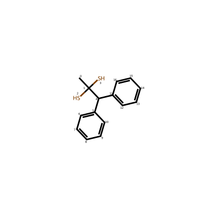 CC(S)(S)C(c1ccccc1)c1ccccc1